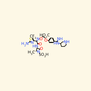 C[C@@H]1[C@H](NC(=O)C(=NOC(COc2ccc(C(=N)NC3CCCNC3)cc2)C(=O)O)c2nc(N)sc2C(F)(F)F)C(=O)N1S(=O)(=O)O